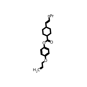 C=CCOc1ccc(OC(=O)C2CCC(/C=C/CCC)CC2)cc1